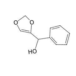 OC(C1=COCO1)c1ccccc1